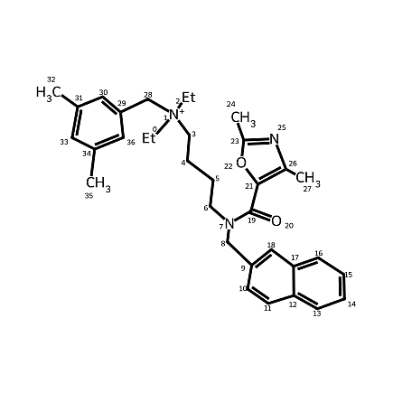 CC[N+](CC)(CCCCN(Cc1ccc2ccccc2c1)C(=O)c1oc(C)nc1C)Cc1cc(C)cc(C)c1